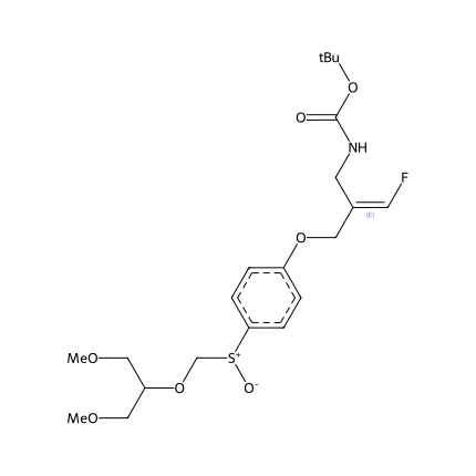 COCC(COC)OC[S+]([O-])c1ccc(OC/C(=C/F)CNC(=O)OC(C)(C)C)cc1